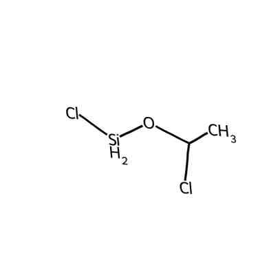 CC(Cl)O[SiH2]Cl